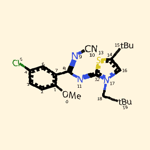 COc1ccc(Cl)cc1C(=NC#N)N=c1sc(C(C)(C)C)cn1CC(C)(C)C